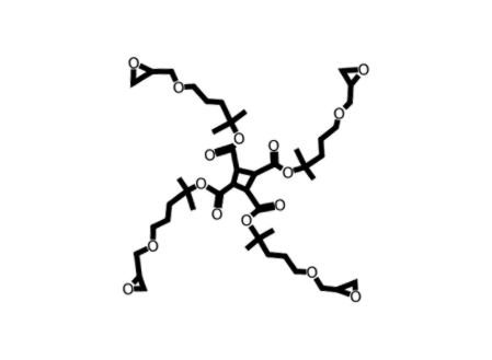 CC(C)(CCCOCC1CO1)OC(=O)C1C(C(=O)OC(C)(C)CCCOCC2CO2)C(C(=O)OC(C)(C)CCCOCC2CO2)C1C(=O)OC(C)(C)CCCOCC1CO1